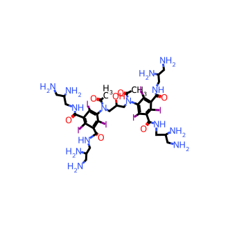 CC(=O)N(CC(O)CN(C(C)=O)c1c(I)c(C(=O)NCC(N)CN)c(I)c(C(=O)NCC(N)CN)c1I)c1c(I)c(C(=O)NCC(N)CN)c(I)c(C(=O)NCC(N)CN)c1I